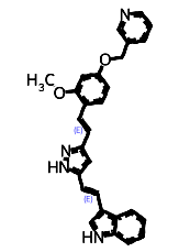 COc1cc(OCc2cccnc2)ccc1/C=C/c1cc(/C=C/c2c[nH]c3ccccc23)[nH]n1